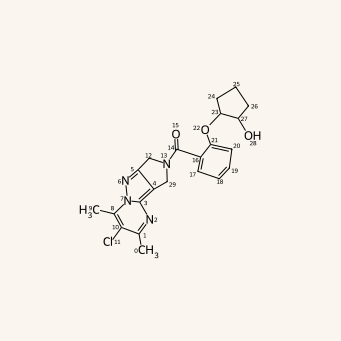 Cc1nc2c3c(nn2c(C)c1Cl)CN(C(=O)c1ccccc1OC1CCCC1O)C3